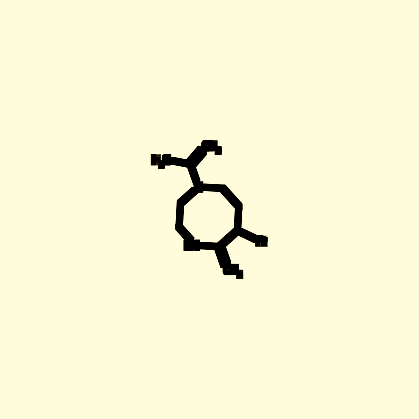 C=C1NCCN(C(=C)C)CCC1CC